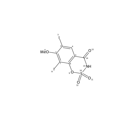 COc1c(I)cc2c(c1I)OS(=O)(=O)NC2=O